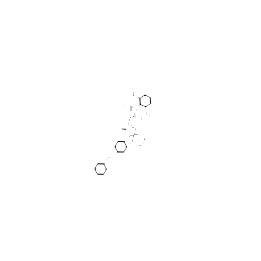 CC(C)c1cccc(C(C)C)c1NC(=O)CN1CC2(CCCCC2)N(c2ccc(OCc3ccccc3)cc2)C1=O